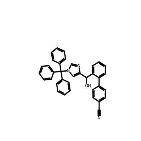 N#Cc1ccc(-c2ccccc2C(O)c2cn(C(c3ccccc3)(c3ccccc3)c3ccccc3)cn2)cc1